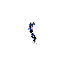 Cc1nc(CC(=O)N[C@H]2CC[C@H](CCN3CCc4ccc(CCC(F)(F)F)nc4CC3)CC2)nn1C